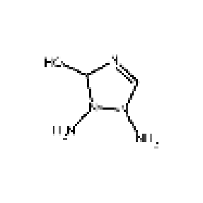 NN1C=NC(O)N1N